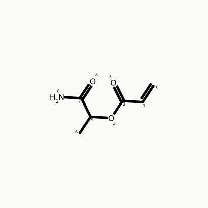 C=CC(=O)OC(C)C(N)=O